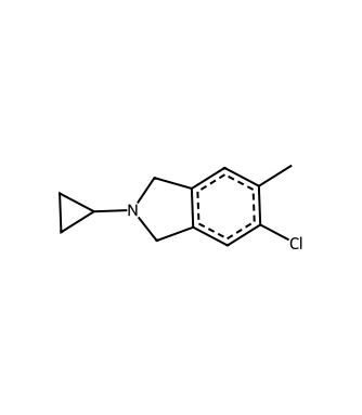 Cc1cc2c(cc1Cl)CN(C1CC1)C2